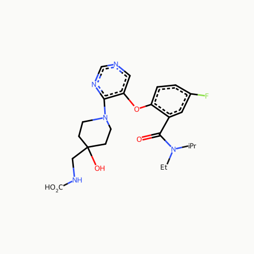 CCN(C(=O)c1cc(F)ccc1Oc1cncnc1N1CCC(O)(CNC(=O)O)CC1)C(C)C